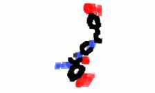 Cc1[nH]c2ccc(O)cc2c1C(=O)N(C)C1CCN(C(C)CCc2ccc(O)cc2)CC1